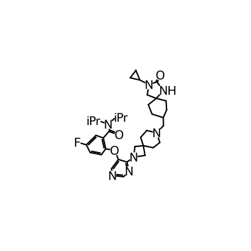 CC(C)N(C(=O)c1cc(F)ccc1Oc1cncnc1N1CC2(CCN(CC3CCC4(CC3)CN(C3CC3)C(=O)N4)CC2)C1)C(C)C